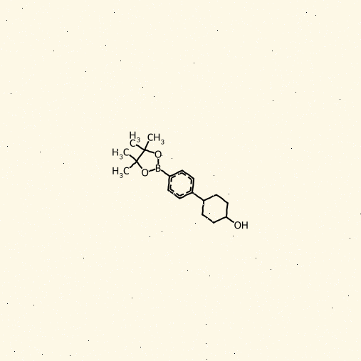 CC1(C)OB(c2ccc(C3CCC(O)CC3)cc2)OC1(C)C